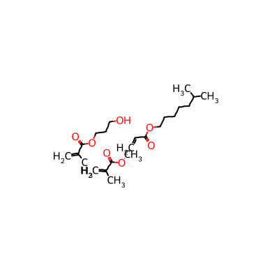 C=C(C)C(=O)OC.C=C(C)C(=O)OCCCO.C=CC(=O)OCCCCCC(C)C